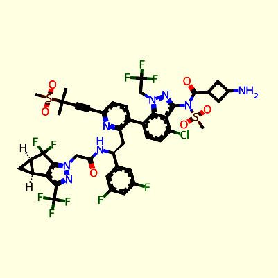 CC(C)(C#Cc1ccc(-c2ccc(Cl)c3c(N(C(=O)C4CC(N)C4)S(C)(=O)=O)nn(CC(F)(F)F)c23)c(C[C@H](NC(=O)Cn2nc(C(F)(F)F)c3c2C(F)(F)[C@@H]2C[C@H]32)c2cc(F)cc(F)c2)n1)S(C)(=O)=O